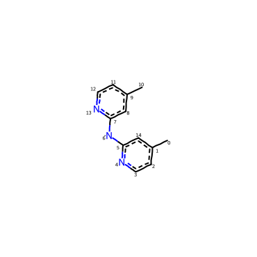 Cc1ccnc([N]c2cc(C)ccn2)c1